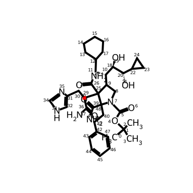 CC(C)(C)OC(=O)N1CC([C@H](CC2CCCCC2)[C@@H](O)[C@@H](O)C2CC2)C(C(N)=O)(C(Cc2c[nH]cn2)C(N)=O)C1(CCc1ccccc1)C(N)=O